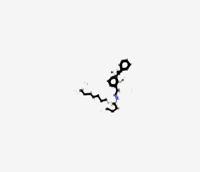 COC(OC)(c1ccccc1)c1cccc(C(O)/C=C/[C@H]2CCC(=O)N2CCCCCCC(=O)O)c1